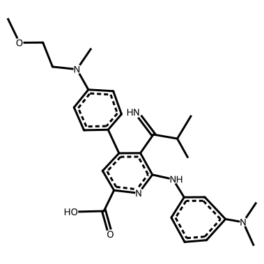 COCCN(C)c1ccc(-c2cc(C(=O)O)nc(Nc3cccc(N(C)C)c3)c2C(=N)C(C)C)cc1